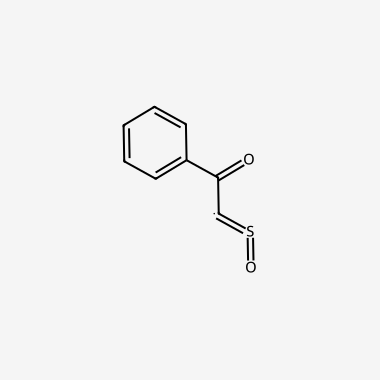 O=S=[C]C(=O)c1ccccc1